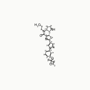 CCCN(C(=O)c1csc(-c2cnn(-c3cccc(OC(C)(F)F)c3)c2)n1)C1CCNC1